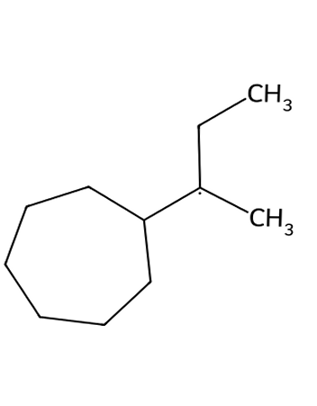 CC[C](C)C1CCCCCC1